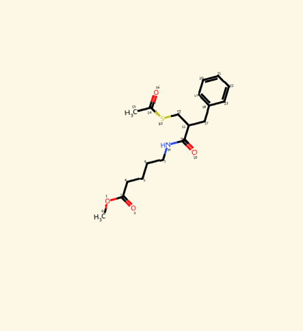 COC(=O)CCCCNC(=O)C(CSC(C)=O)Cc1ccccc1